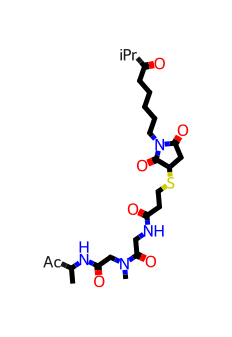 CC(=O)C(C)NC(=O)CN(C)C(=O)CNC(=O)CCSC1CC(=O)N(CCCCCC(=O)C(C)C)C1=O